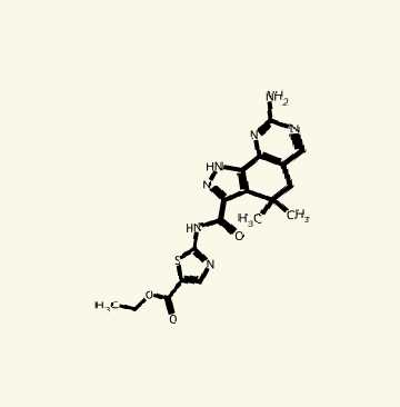 CCOC(=O)c1cnc(NC(=O)c2n[nH]c3c2C(C)(C)Cc2cnc(N)nc2-3)s1